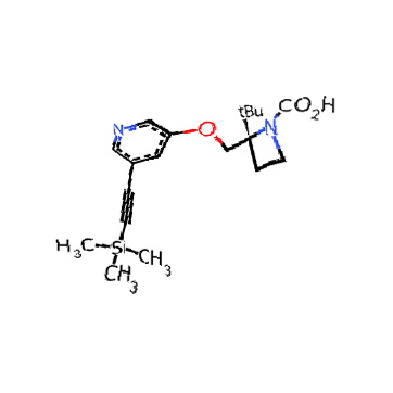 CC(C)(C)[C@]1(COc2cncc(C#C[Si](C)(C)C)c2)CCN1C(=O)O